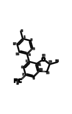 Cc1ccc(-c2cc(C(F)(F)F)cc3c2OC(C)C3)cc1